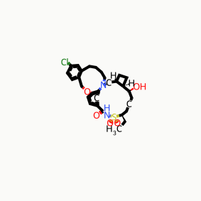 CC[C@@H]1CCC[C@H](O)[C@@H]2CC[C@H]2CN2CCCCc3cc(Cl)ccc3COc3ccc(cc32)C(=O)NS1(=O)=O